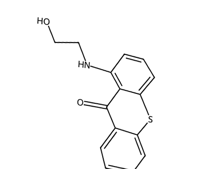 O=c1c2ccccc2sc2cccc(NCCO)c12